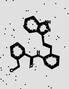 O=C(Nc1ccccc1C=Cc1n[nH]c2ccccc12)c1ccccc1CCl